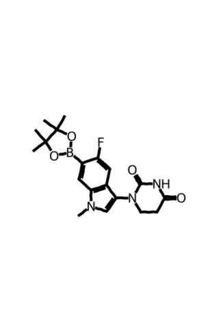 Cn1cc(N2CCC(=O)NC2=O)c2cc(F)c(B3OC(C)(C)C(C)(C)O3)cc21